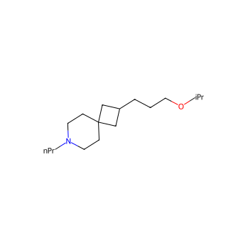 CCCN1CCC2(CC1)CC(CCCOC(C)C)C2